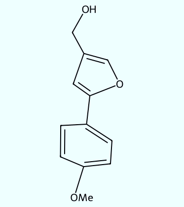 COc1ccc(-c2cc(CO)co2)cc1